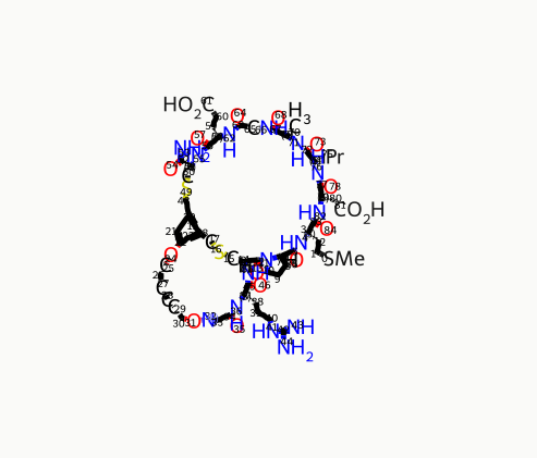 CSCC[C@@H]1NC(=O)[C@@H]2CCCN2C(=O)[C@@H]2CSCc3cc(cc(c3)OCCCCCCO/N=C/C(=O)N[C@@H](CCCNC(=N)N)C(=O)N2)CSC[C@@H](C(N)=O)NC(=O)[C@H](CCC(=O)O)NC(=O)CNC(=O)[C@H](C)NC(=O)[C@H](C(C)C)NC(=O)[C@H](CC(=O)O)NC1=O